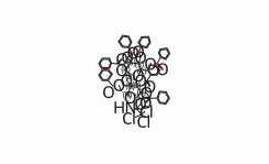 N=C(O[C@@H]1O[C@H](COC(=O)c2ccccc2)[C@@H](O[C@@H]2O[C@H](COC(=O)c3ccccc3)[C@H](OC(=O)c3ccccc3)[C@H](OC(=O)c3ccccc3)[C@H]2OC(=O)c2ccccc2)[C@H](OC(=O)c2ccccc2)[C@H]1OC(=O)c1ccccc1)C(Cl)(Cl)Cl